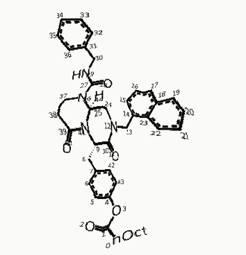 CCCCCCCCC(=O)Oc1ccc(C[C@H]2C(=O)N(Cc3cccc4ccccc34)C[C@@H]3N(C(=O)NCc4ccccc4)CCC(=O)N32)cc1